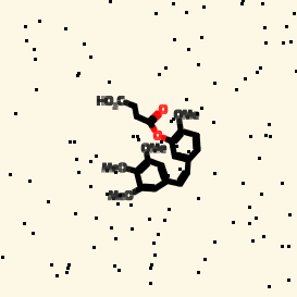 COc1ccc(/C=C\c2cc(OC)c(OC)c(OC)c2)cc1OC(=O)CCC(=O)O